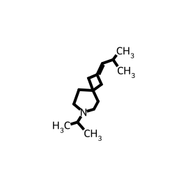 CC(C)C=C1CC2(CCN(C(C)C)CC2)C1